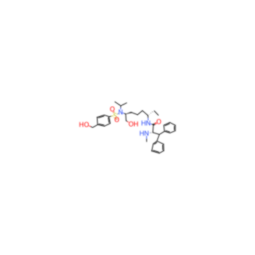 CC[C@@H](CCC[C@@H](CO)N(C(C)C)S(=O)(=O)c1ccc(CO)cc1)NC(=O)[C@@H](NC)C(c1ccccc1)c1ccccc1